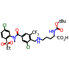 CCS(=O)(=O)c1ccc(Cl)cc1N(C)C(=O)c1cc(Cl)c(CNCCC[C@H](NC(=O)OC(C)(C)C)C(=O)O)c(C(F)(F)F)c1